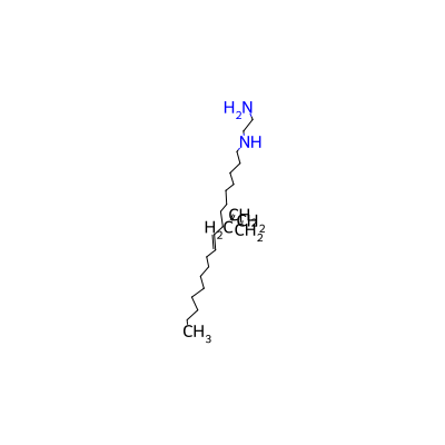 C=C.C=C.CCCCCCCCC=CCCCCCCCCNCCN